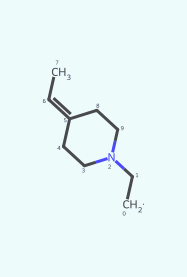 [CH2]CN1CCC(=CC)CC1